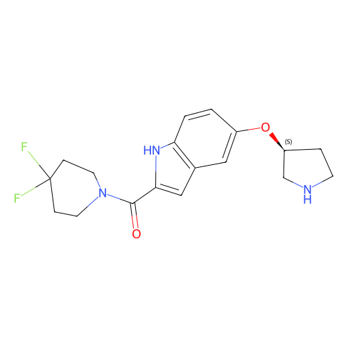 O=C(c1cc2cc(O[C@H]3CCNC3)ccc2[nH]1)N1CCC(F)(F)CC1